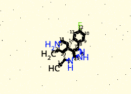 C#CCNc1[nH]nc(-c2ccc(F)cc2)c1C(/C=C\N)=C/C=C